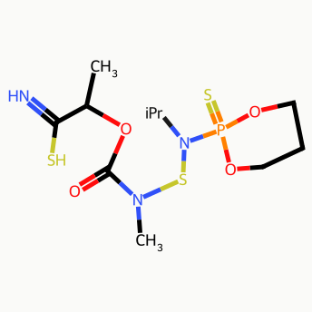 CC(OC(=O)N(C)SN(C(C)C)P1(=S)OCCCO1)C(=N)S